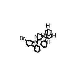 Brc1ccc2c3ccccc3n(-c3cc(C4(c5ccccc5)[C@H]5C[C@@H]6C[C@@H](C[C@H]4C6)C5)ccn3)c2c1